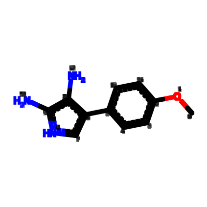 COc1ccc(-c2c[nH]c(N)c2N)cc1